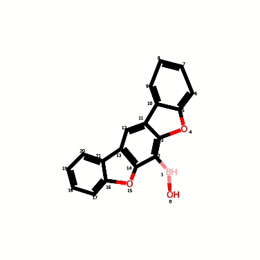 OBc1c2oc3ccccc3c2cc2c1oc1ccccc12